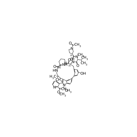 CCn1c(-c2cccnc2[C@H](C)OC)c2c3cc(ccc31)-c1cc(O)cc(c1)C[C@H](NC(=O)C(C(C)C)N(C)C(=O)[C@H]1CCN(C(C)=O)C1)C(=O)N1CCC[C@H](N1)C(=O)NCC(C)(C)C2